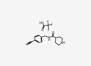 N#Cc1ccc(CNC(=O)C2CCNCC2)cc1.O=C(O)C(F)(F)F